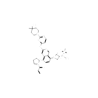 C=CC(=O)N1CCC[C@H]1c1ccc(N2C[C@H](N(C(C)C)S(C)(=O)=O)[C@H]2C)c2cnc(Nc3ccnc(N4CCC(C)(O)CC4)n3)cc12